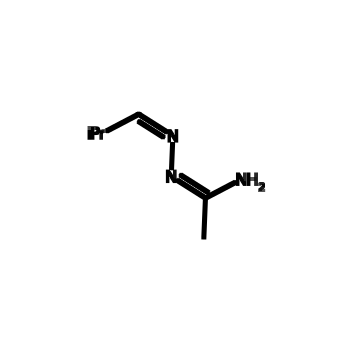 C/C(N)=N/N=C\C(C)C